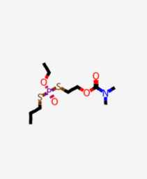 CCCSP(=O)(OCC)SCCOC(=O)N(C)C